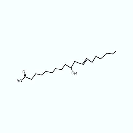 CCCCCCC=CCC(O)CCCCCCCCC(=O)O